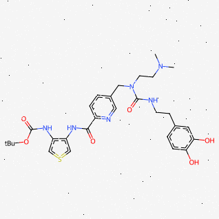 CN(C)CCN(Cc1ccc(C(=O)Nc2cscc2NC(=O)OC(C)(C)C)nc1)C(=O)NCCc1ccc(O)c(O)c1